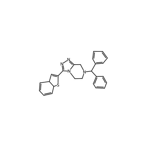 C1=CC2C=C(c3nnc4n3CCN(C(c3ccccc3)c3ccccc3)C4)SC2C=C1